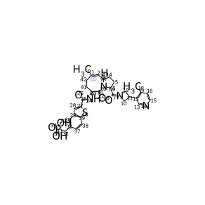 C/C1=C/[C@H]2CC[C@@H](C(=O)N3CC(c4cnccc4C)C3)N2C(=O)[C@@H](NC(=O)c2cc3cc(CP(=O)(O)O)ccc3s2)CC1